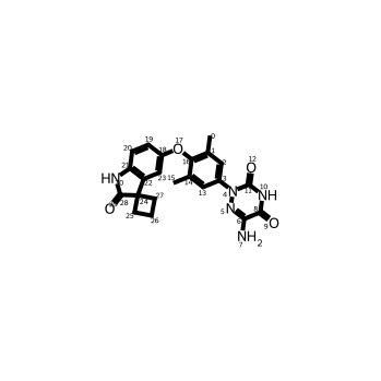 Cc1cc(-n2nc(N)c(=O)[nH]c2=O)cc(C)c1Oc1ccc2c(c1)C1(CCC1)C(=O)N2